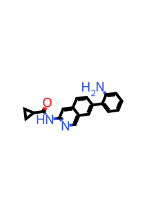 Nc1ccccc1-c1ccc2cc(NC(=O)C3CC3)ncc2c1